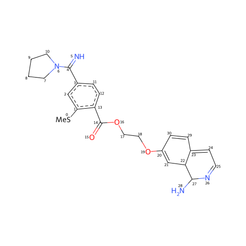 CSc1cc(C(=N)N2CCCC2)ccc1C(=O)OCCOC1=CC2C(=CC=NC2N)C=C1